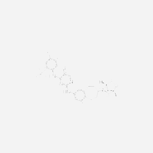 CP(C)(=O)c1cc(Cl)ccc1Nc1nc(Nc2ccc3c(c2)CCC(N2C[C@@H]4C[C@H]2CO4)CC3)ncc1Cl